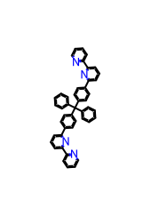 c1ccc(C(c2ccccc2)(c2ccc(-c3cccc(-c4ccccn4)n3)cc2)c2ccc(-c3cccc(-c4ccccn4)n3)cc2)cc1